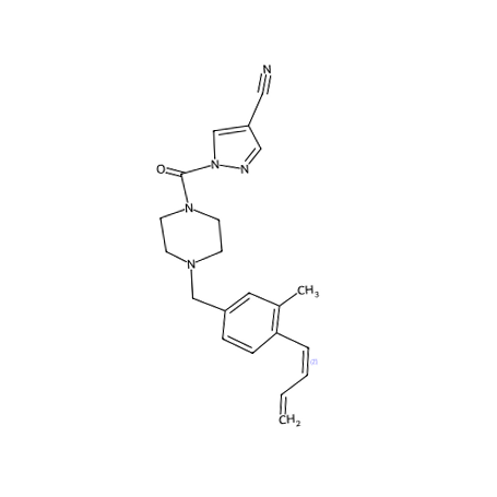 C=C/C=C\c1ccc(CN2CCN(C(=O)n3cc(C#N)cn3)CC2)cc1C